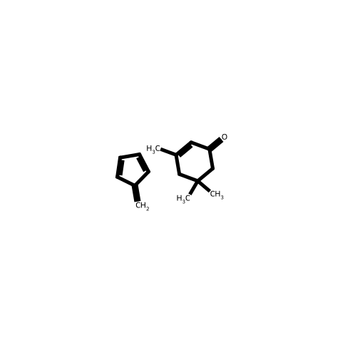 C=C1C=CC=C1.CC1=CC(=O)CC(C)(C)C1